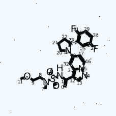 C=C(NS(=O)(=O)N(C)CCOC)c1cnn2ccc(N3CCC[C@@H]3c3cc(F)ccc3F)cc12